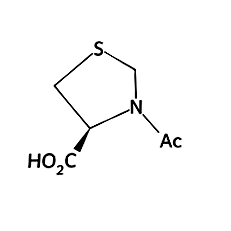 CC(=O)N1CSC[C@@H]1C(=O)O